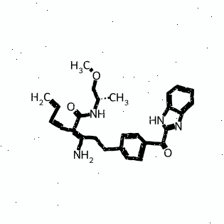 C=C/C=C\C(C(=O)N[C@@H](C)COC)=C(/N)CCc1ccc(C(=O)c2nc3ccccc3[nH]2)cc1